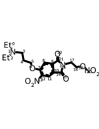 CCN(CC)CCCOc1cc2c(cc1[N+](=O)[O-])C(=O)N(CCO[N+](=O)[O-])C2=O